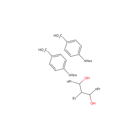 CCCC(O)C(CC)C(O)CCC.CCCCCCc1ccc(C(=O)O)cc1.CCCCCCc1ccc(C(=O)O)cc1